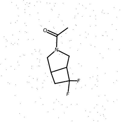 CC(=O)N1CC2CC(F)(F)C2C1